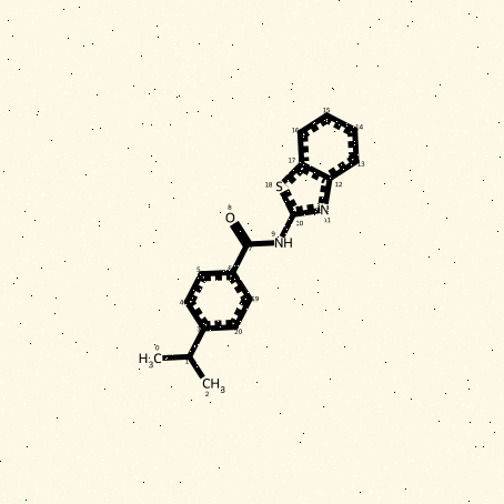 CC(C)c1ccc(C(=O)Nc2nc3ccccc3s2)cc1